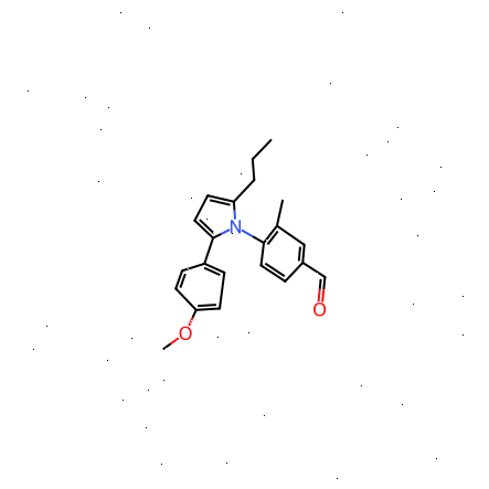 CCCc1ccc(-c2ccc(OC)cc2)n1-c1ccc(C=O)cc1C